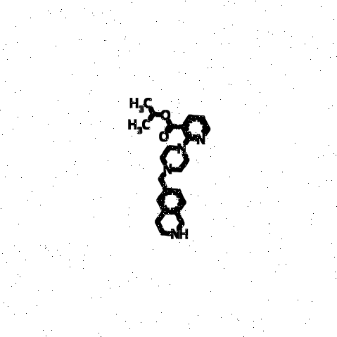 CC(C)OC(=O)c1cccnc1N1CCN(Cc2ccc3c(c2)CCNC3)CC1